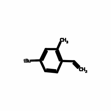 C=Cc1ccc(C(C)(C)C)cc1C